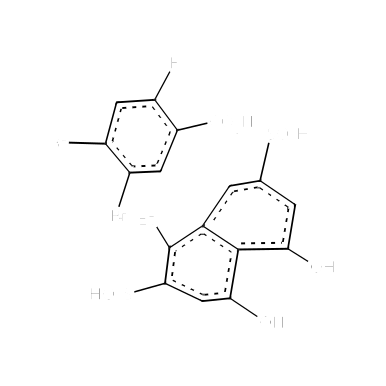 CCc1c(S(=O)(=O)O)cc(O)c2c(O)cc(S(=O)(=O)O)cc12.O=C(O)c1cc(Br)c(Br)cc1F